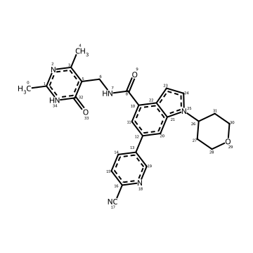 Cc1nc(C)c(CNC(=O)c2cc(-c3ccc(C#N)nc3)cc3c2ccn3C2CCOCC2)c(=O)[nH]1